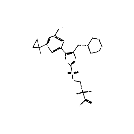 CC(C)(CNS(=O)(=O)c1nc(CC2CCCCC2)c(-c2cc(C(C)(C)C)cc(C3(C)CC3)c2)s1)C(N)=O